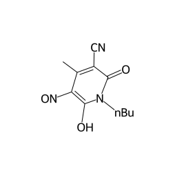 CCCCn1c(O)c(N=O)c(C)c(C#N)c1=O